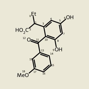 CCC(C(=O)O)c1cc(O)cc(O)c1C(=O)c1cccc(OC)c1